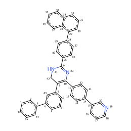 c1ccc(-c2cccc(C3=C(c4ccc(-c5cccnc5)cc4)N=C(c4ccc(-c5cccc6ccccc56)cc4)NC3)c2)cc1